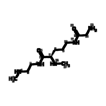 CNCCNC(=O)[C@H](CCCNC(=O)CN)NC